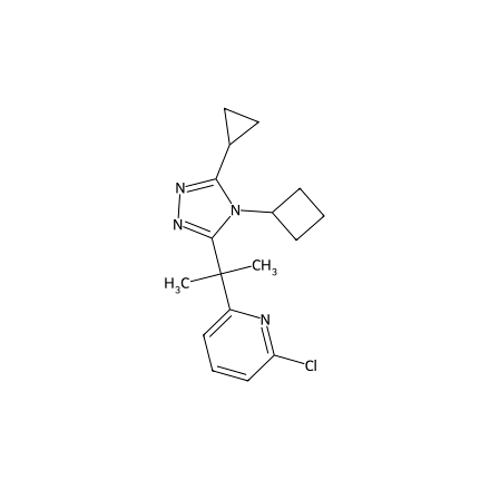 CC(C)(c1cccc(Cl)n1)c1nnc(C2CC2)n1C1CCC1